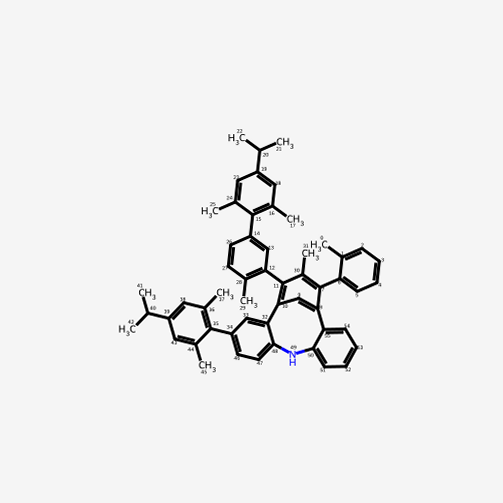 Cc1ccccc1-c1c2cc(c(-c3cc(-c4c(C)cc(C(C)C)cc4C)ccc3C)c1C)-c1cc(-c3c(C)cc(C(C)C)cc3C)ccc1Nc1ccccc1-2